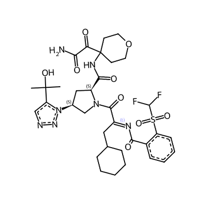 CC(C)(O)c1cnnn1[C@H]1C[C@@H](C(=O)NC2(C(=O)C(N)=O)CCOCC2)N(C(=O)/C(CC2CCCCC2)=N/C(=O)c2ccccc2S(=O)(=O)C(F)F)C1